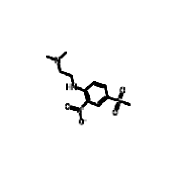 CN(C)CCNc1ccc(S(C)(=O)=O)cc1[N+](=O)[O-]